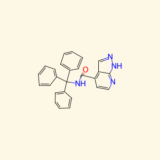 O=C(NC(c1ccccc1)(c1ccccc1)c1ccccc1)c1ccnc2[nH]ncc12